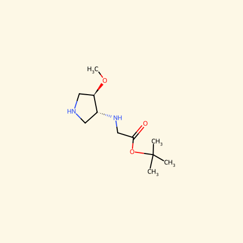 CO[C@@H]1CNC[C@H]1NCC(=O)OC(C)(C)C